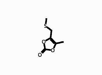 CSCc1oc(=O)oc1C